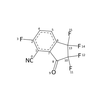 N#Cc1c(F)ccc2c1C(=O)C(F)(F)C2(F)F